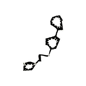 [c]1ccccc1-c1ccc(OCCn2ccnc2)cc1